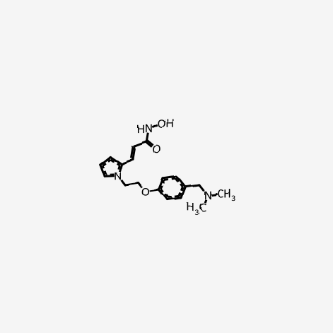 CN(C)Cc1ccc(OCCn2cccc2C=CC(=O)NO)cc1